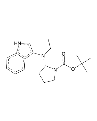 CCN(c1c[nH]c2ccccc12)[C@H]1CCCN1C(=O)OC(C)(C)C